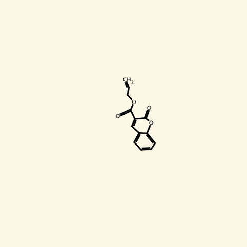 C=CCOC(=O)c1cc2ccccc2oc1=O